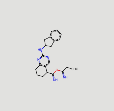 N=C(CC=O)OC(=N)C1CCCc2nc(NC3Cc4ccccc4C3)ncc21